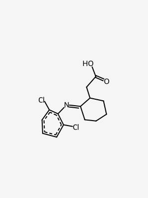 O=C(O)CC1CCCCC1=Nc1c(Cl)cccc1Cl